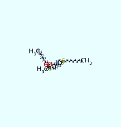 CCCCCCCCCCSc1ccc(-c2ccc(S[C@H](C)C(=O)OCCCCCCCC)cc2)cc1